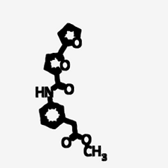 COC(=O)Cc1cccc(NC(=O)c2ccc(-c3ccco3)o2)c1